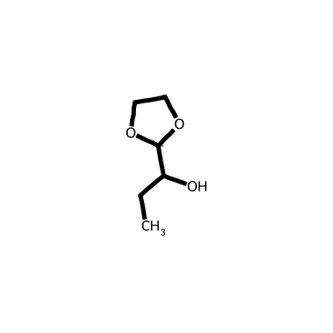 CCC(O)[C]1OCCO1